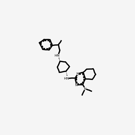 CC(CN[C@H]1CC[C@@H](Nc2nc3c(c(N(C)C)n2)CCCC3)CC1)c1ccccc1